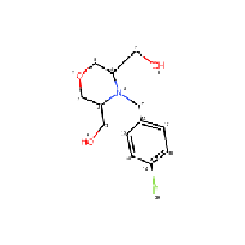 OCC1COCC(CO)N1Cc1ccc(F)cc1